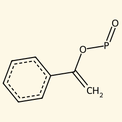 C=C(OP=O)c1ccccc1